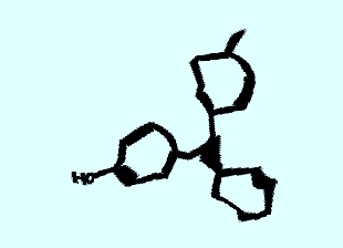 Cc1ccc(C(=C2CCCCC2)c2ccc(O)cc2)cc1